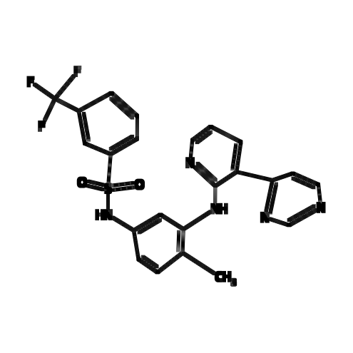 Cc1ccc(NS(=O)(=O)c2cccc(C(F)(F)F)c2)cc1Nc1ncccc1-c1ccncn1